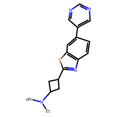 CCCN(CC)C1CC(c2nc3ccc(-c4cncnc4)cc3s2)C1